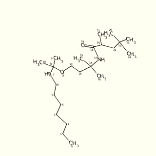 CCCCCCCBC(C)(C)OCCC(C)(C)NC(=O)C(C)CC(C)(C)C